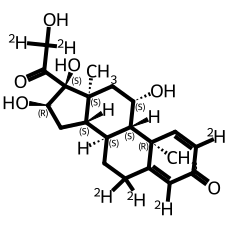 [2H]C1=C[C@@]2(C)C(=C([2H])C1=O)C([2H])([2H])C[C@@H]1[C@@H]2[C@@H](O)C[C@@]2(C)[C@H]1C[C@@H](O)[C@]2(O)C(=O)C([2H])([2H])O